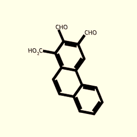 O=Cc1cc2c(ccc3ccccc32)c(C(=O)O)c1C=O